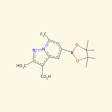 CC1(C)OB(c2cc(C(F)(F)F)n3nc(C(=O)O)c(C(=O)O)c3c2)OC1(C)C